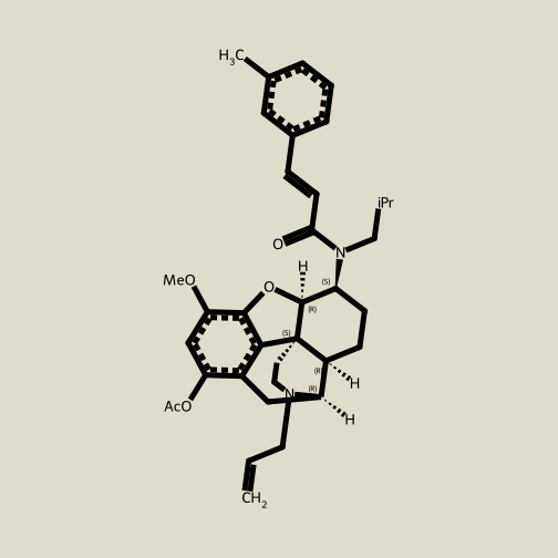 C=CCN1CC[C@]23c4c5c(OC(C)=O)cc(OC)c4O[C@H]2[C@@H](N(CC(C)C)C(=O)C=Cc2cccc(C)c2)CC[C@H]3[C@H]1C5